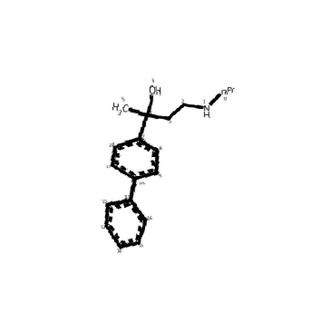 CCCNCCC(C)(O)c1ccc(-c2ccccc2)cc1